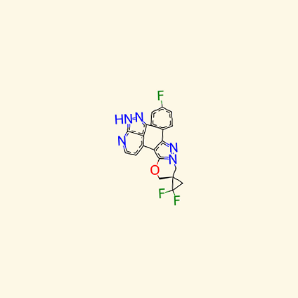 Cc1n[nH]c2nccc(-c3c(-c4ccc(F)cc4)nn4c3OC[C@@]3(C4)CC3(F)F)c12